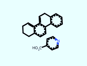 C1=c2c(ccc3c2=CCc2ccccc2-3)CCC1.O=C(O)c1ccncc1